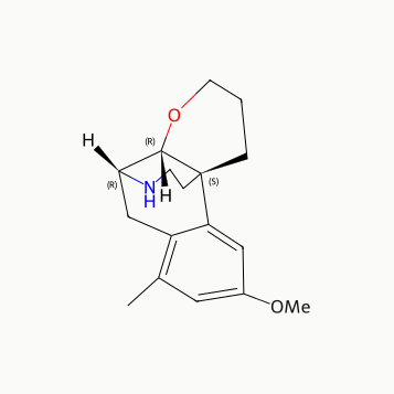 COc1cc(C)c2c(c1)[C@@]13CCCO[C@H]1[C@@H](C2)NCC3